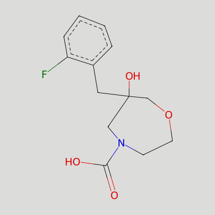 O=C(O)N1CCOCC(O)(Cc2ccccc2F)C1